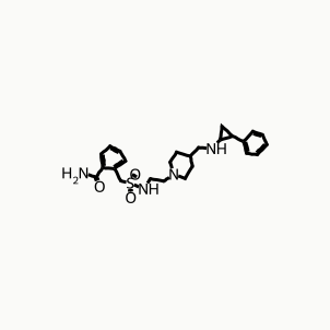 NC(=O)c1ccccc1CS(=O)(=O)NCCN1CCC(CNC2CC2c2ccccc2)CC1